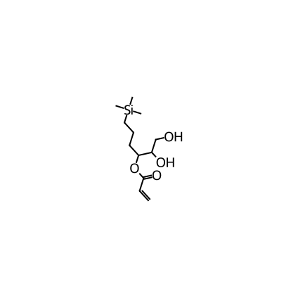 C=CC(=O)OC(CCC[Si](C)(C)C)C(O)CO